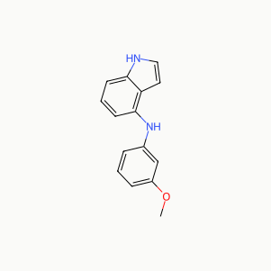 COc1cccc(Nc2cccc3[nH]ccc23)c1